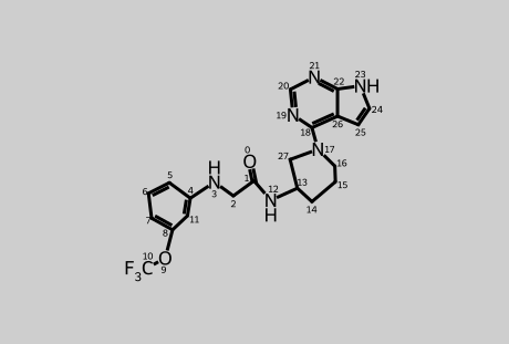 O=C(CNc1cccc(OC(F)(F)F)c1)NC1CCCN(c2ncnc3[nH]ccc23)C1